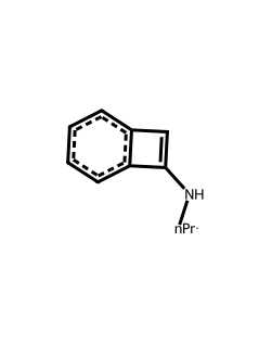 CC[CH]NC1=Cc2ccccc21